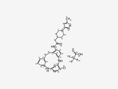 Cc1cc(N2CCC(CC(=O)Nc3ccc4cc3CCc3cccc(c3)Nc3ncc(Cl)c(n3)N4)CC2)no1.O=C(O)C(F)(F)F